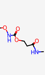 CNC(=O)CCOC(=O)NOC